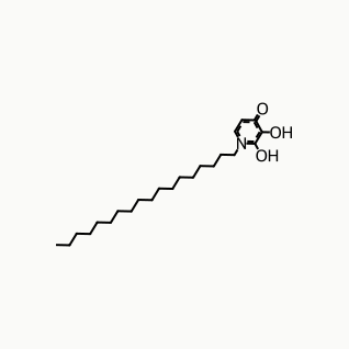 CCCCCCCCCCCCCCCCCCn1ccc(=O)c(O)c1O